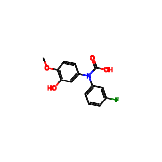 COc1ccc(N(C(=O)O)c2cccc(F)c2)cc1O